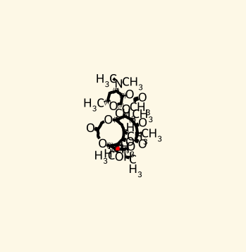 CC[C@H]1OC(=O)[C@H](C)C(=O)[C@H](C)[C@@H](O[C@@H]2O[C@H](C)C[C@H](N(C)C)[C@H]2OC(C)=O)[C@@]2(C)C[C@@H](C)C(=O)[C@H](C)[C@@H](OCC(=O)CO2)[C@]1(C)O